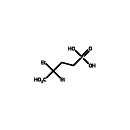 CCC(CC)(CCP(=O)(O)O)C(=O)O